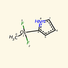 [CH3][Os]([F])([F])[c]1ccc[nH]1